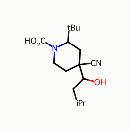 CC(C)CC(O)C1(C#N)CCN(C(=O)O)C(C(C)(C)C)C1